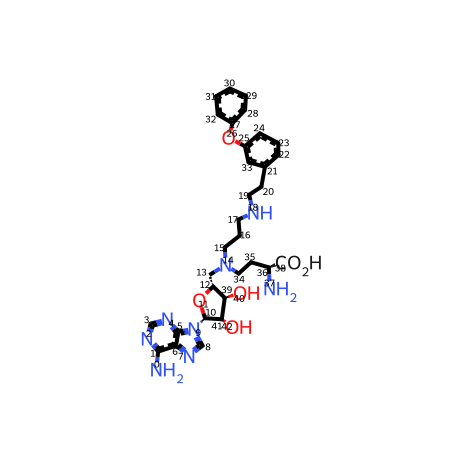 Nc1ncnc2c1ncn2[C@@H]1O[C@H](CN(CCCNCCc2cccc(Oc3ccccc3)c2)CC[C@H](N)C(=O)O)[C@@H](O)[C@H]1O